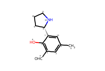 Cc1cc(C=O)c(O)c([C@@H]2CCCN2)c1